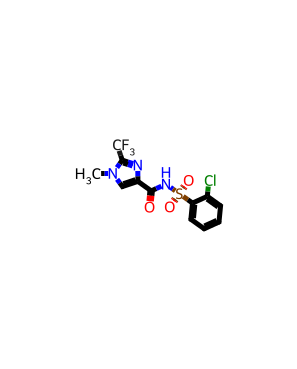 Cn1cc(C(=O)NS(=O)(=O)c2ccccc2Cl)nc1C(F)(F)F